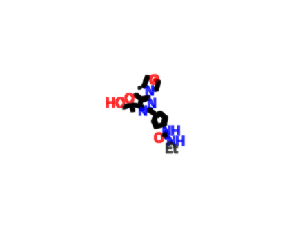 CCNC(=O)Nc1ccc(-c2nc(N3CCOC[C@@H]3C)c3c(n2)C(C)(CO)OC3)cc1